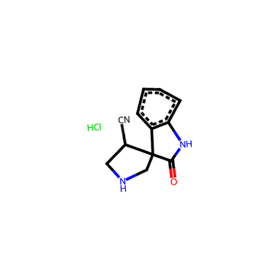 Cl.N#CC1CNCC12C(=O)Nc1ccccc12